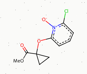 COC(=O)C1(Oc2cccc(Cl)[n+]2[O-])CC1